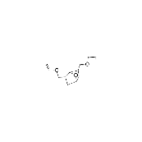 C=COCC1CC2CC(COC=C)C1O2